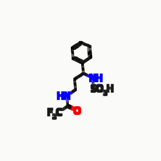 O=C(NCCC(NS(=O)(=O)O)c1ccccc1)C(F)(F)F